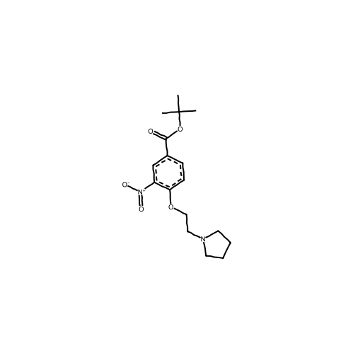 CC(C)(C)OC(=O)c1ccc(OCCN2CCCC2)c([N+](=O)[O-])c1